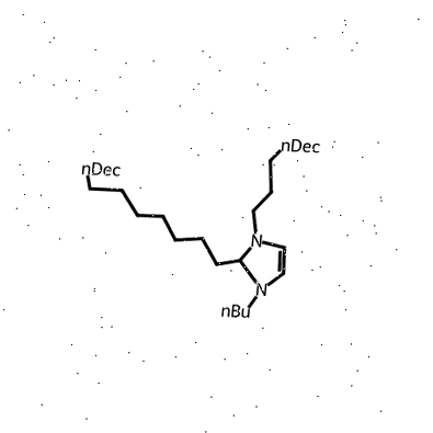 CCCCCCCCCCCCCCCCCC1N(CCCC)C=CN1CCCCCCCCCCCCC